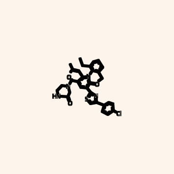 CCc1cccc(CC)c1-n1c(C=C(C)C)c(C(=O)N2CCNC(=O)C2)cc(-c2nc(-c3ccc(Cl)cc3)cs2)c1=O